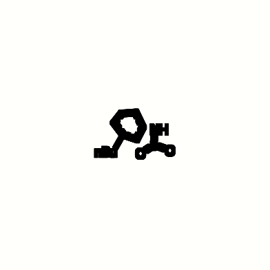 CCCCc1ccccc1.N=S(=O)=O